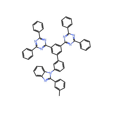 Cc1cccc(-c2nc3ccccc3n2-c2cccc(-c3cc(-c4nc(-c5ccccc5)nc(-c5ccccc5)n4)cc(-c4nc(-c5ccccc5)nc(-c5ccccc5)n4)c3)c2)c1